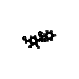 Cc1c(C=O)ccc(NC(=O)c2ccccc2)c1C